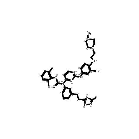 CCCN1CCN(CCOc2ccc(Nc3nccc(N(C(=O)Oc4c(C)cccc4C)c4cccc(CCc5nc(C)no5)c4)n3)cc2F)CC1